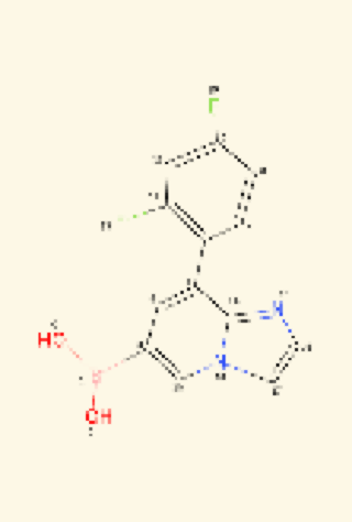 OB(O)c1cc(-c2ccc(F)cc2F)c2nccn2c1